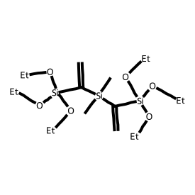 C=C([Si](OCC)(OCC)OCC)[Si](C)(C)C(=C)[Si](OCC)(OCC)OCC